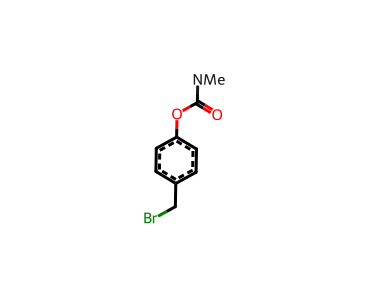 CNC(=O)Oc1ccc(CBr)cc1